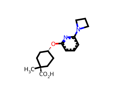 C[C@]1(C(=O)O)CC[C@H](Oc2cccc(N3CCC3)n2)CC1